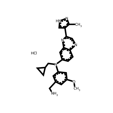 COc1cc(CN)cc(N(CC2CC2)c2ccc3ncc(-c4c[nH]nc4C)nc3c2)c1.Cl